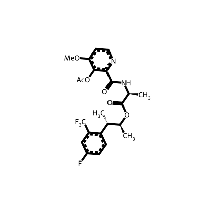 COc1ccnc(C(=O)N[C@@H](C)C(=O)O[C@@H](C)[C@@H](C)c2ccc(F)cc2C(F)(F)F)c1OC(C)=O